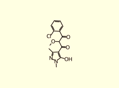 COC(C(=O)c1ccccc1Cl)C(=O)c1c(C)nn(C)c1O